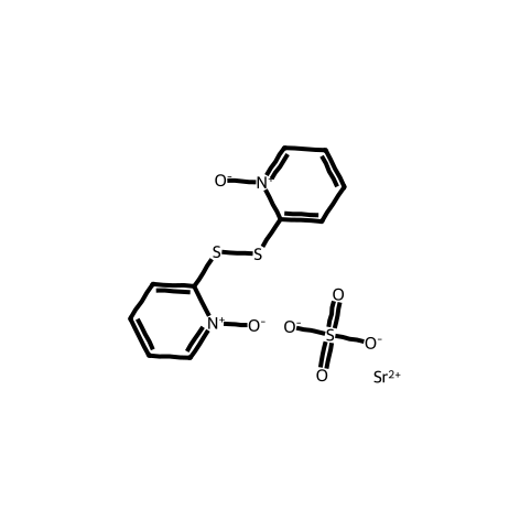 O=S(=O)([O-])[O-].[O-][n+]1ccccc1SSc1cccc[n+]1[O-].[Sr+2]